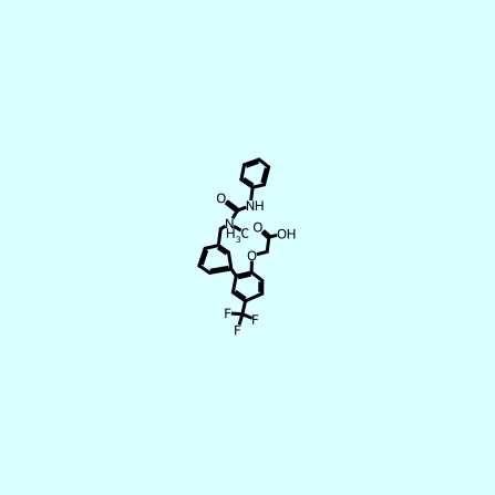 CN(Cc1cccc(-c2cc(C(F)(F)F)ccc2OCC(=O)O)c1)C(=O)Nc1ccccc1